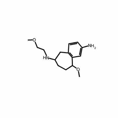 COCCNC1CCC(OC)c2cc(N)ccc2C1